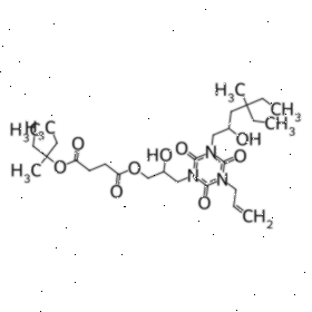 C=CCn1c(=O)n(CC(O)COC(=O)CCC(=O)OC(C)(CC)CC)c(=O)n(CC(O)CC(C)(CC)CC)c1=O